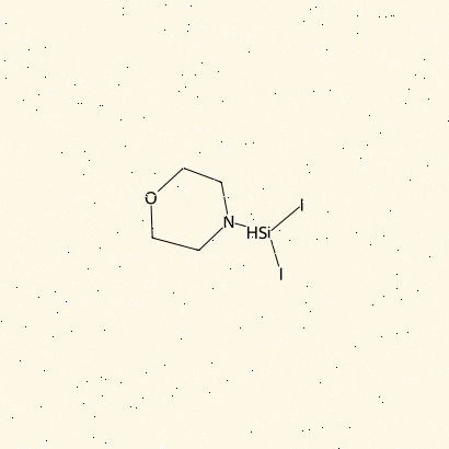 I[SiH](I)N1CCOCC1